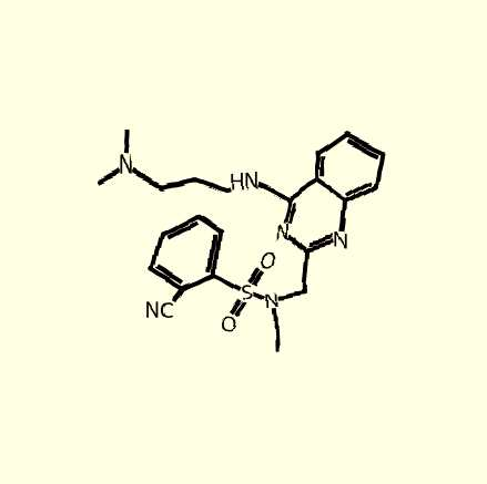 CN(C)CCCNc1nc(CN(C)S(=O)(=O)c2ccccc2C#N)nc2ccccc12